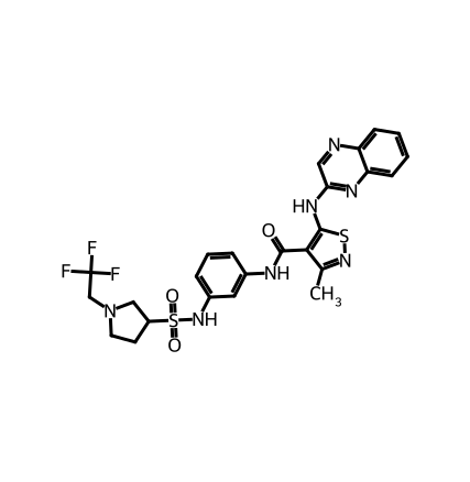 Cc1nsc(Nc2cnc3ccccc3n2)c1C(=O)Nc1cccc(NS(=O)(=O)C2CCN(CC(F)(F)F)C2)c1